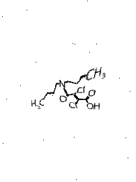 CCCCN(CCCC)C(=O)C(Cl)=C(Cl)C(=O)O